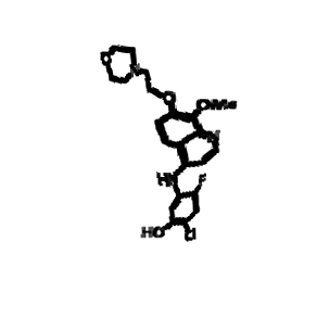 COc1c(OCCN2CCOCC2)ccc2c(Nc3cc(O)c(Cl)cc3F)ccnc12